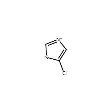 ClC1=C[N+]=CS1